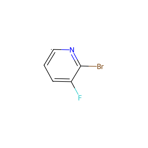 Fc1cc[c]nc1Br